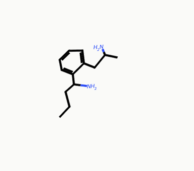 CCCC(N)c1ccccc1CC(C)N